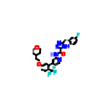 O=C(Nc1cc(-c2cc(OCCC3CCOCC3)ccc2C(F)(F)F)ccn1)c1nnc(Cc2cccc(F)c2)[nH]1